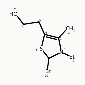 CCN1C(C)=C(CCO)SC1Br